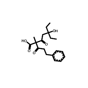 CCC(O)(CC)CC(=O)C(C)(C(=O)O)C(=O)CCc1ccccc1